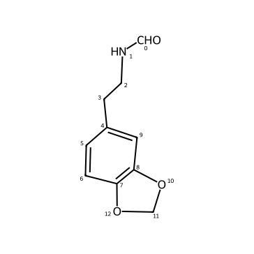 O=CNCCc1ccc2c(c1)OCO2